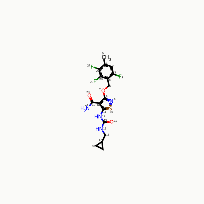 Cc1cc(F)c(COc2nsc(NC(=O)NCC3CC3)c2C(N)=O)c(F)c1F